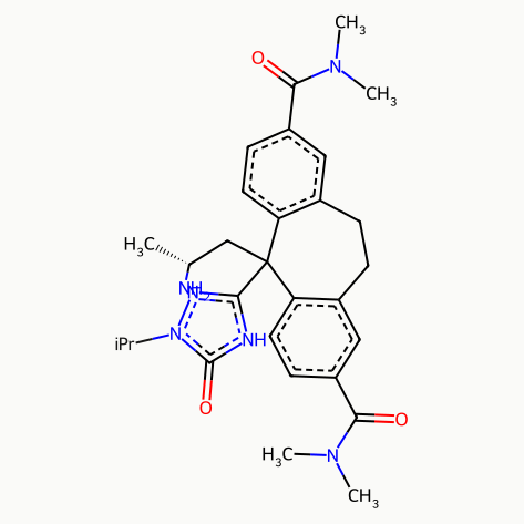 CC(C)n1nc(C2(C[C@@H](C)N)c3ccc(C(=O)N(C)C)cc3CCc3cc(C(=O)N(C)C)ccc32)[nH]c1=O